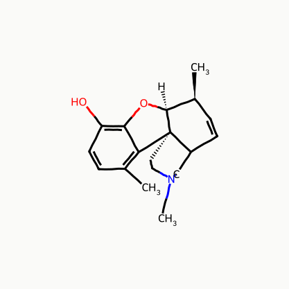 Cc1ccc(O)c2c1[C@]13CCN(C)CC1C=C[C@H](C)[C@@H]3O2